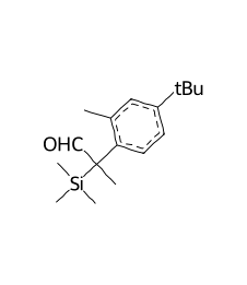 Cc1cc(C(C)(C)C)ccc1C(C)(C=O)[Si](C)(C)C